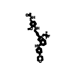 COc1cc(SNC(C)=O)ccc1NCC#Cc1cc2c(Nc3ccc(N4CCOCC4)cc3)cccc2n1CC(F)(F)F